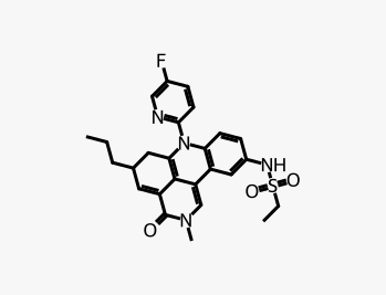 CCCC1C=c2c3c(cn(C)c2=O)-c2cc(NS(=O)(=O)CC)ccc2N(c2ccc(F)cn2)C=3C1